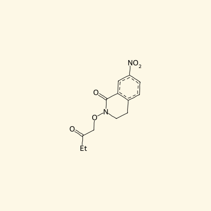 CCC(=O)CON1CCc2ccc([N+](=O)[O-])cc2C1=O